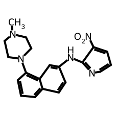 CN1CCN(c2cccc3ccc(Nc4ncccc4[N+](=O)[O-])cc23)CC1